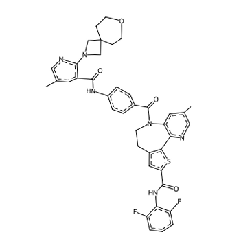 Cc1cnc(N2CC3(CCOCC3)C2)c(C(=O)Nc2ccc(C(=O)N3CCc4cc(C(=O)Nc5c(F)cccc5F)sc4-c4ncc(C)cc43)cc2)c1